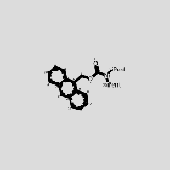 CCCC(C)N(C(=O)OCc1c2ccccc2cc2ccccc12)C(C)CCC